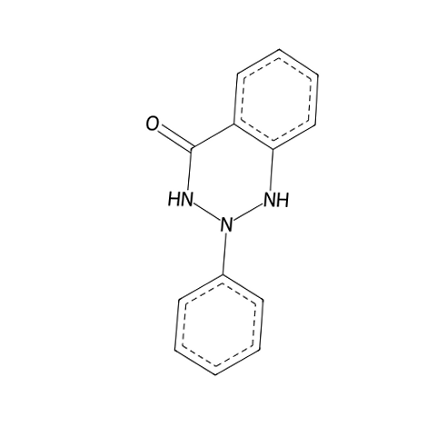 O=C1NN(c2ccccc2)Nc2ccccc21